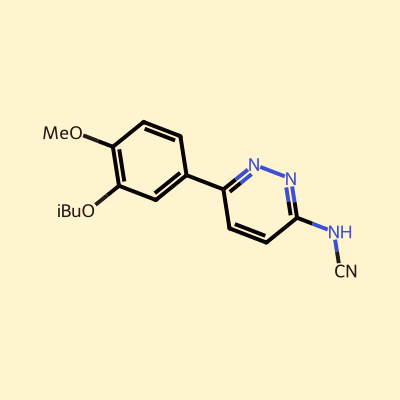 COc1ccc(-c2ccc(NC#N)nn2)cc1OCC(C)C